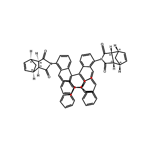 O=C1[C@@H]2[C@H](C(=O)N1c1cccc3c(-c4c(P(c5ccccc5)c5ccccc5)ccc5c(N6C(=O)[C@@H]7[C@H](C6=O)[C@@H]6C=C[C@H]7C6)cccc45)c(P(c4ccccc4)c4ccccc4)ccc13)[C@@H]1C=C[C@H]2C1